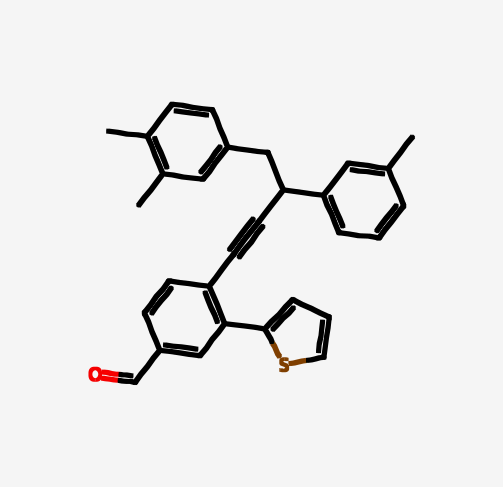 Cc1cccc(C(C#Cc2ccc(C=O)cc2-c2cccs2)Cc2ccc(C)c(C)c2)c1